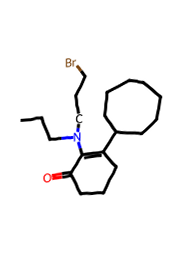 CCCN(CCCBr)C1=C(C2CCCCCCC2)CCCC1=O